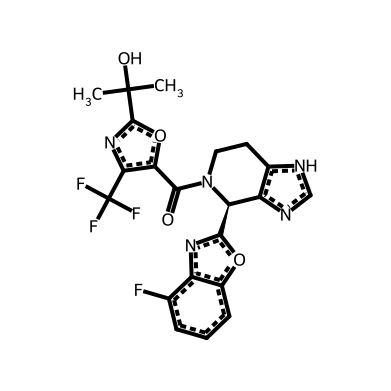 CC(C)(O)c1nc(C(F)(F)F)c(C(=O)N2CCc3[nH]cnc3[C@H]2c2nc3c(F)cccc3o2)o1